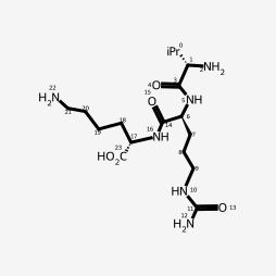 CC(C)[C@H](N)C(=O)N[C@@H](CCCNC(N)=O)C(=O)N[C@@H](CCCCN)C(=O)O